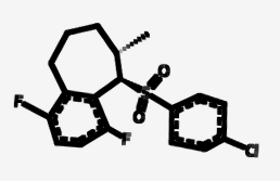 C[C@H]1CCCc2c(F)ccc(F)c2[C@@H]1S(=O)(=O)c1ccc(Cl)cc1